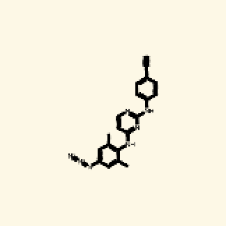 C#Cc1ccc(Nc2nccc(Nc3c(C)cc(N=[N+]=[N-])cc3C)n2)cc1